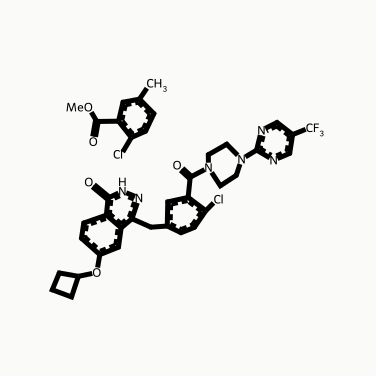 COC(=O)c1cc(C)ccc1Cl.O=C(c1cc(Cc2n[nH]c(=O)c3ccc(OC4CCC4)cc23)ccc1Cl)N1CCN(c2ncc(C(F)(F)F)cn2)CC1